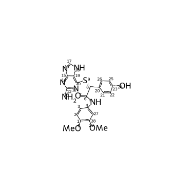 COc1ccc(NC(=O)[C@H](Sc2nc(N)nc3nc[nH]c23)c2ccc(O)cc2)cc1OC